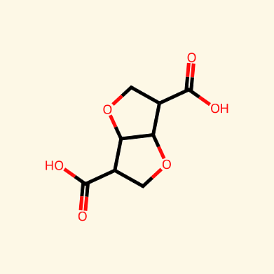 O=C(O)C1COC2C(C(=O)O)COC12